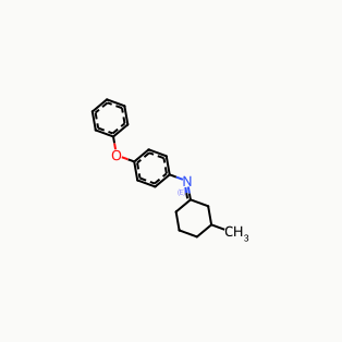 CC1CCC/C(=N\c2ccc(Oc3ccccc3)cc2)C1